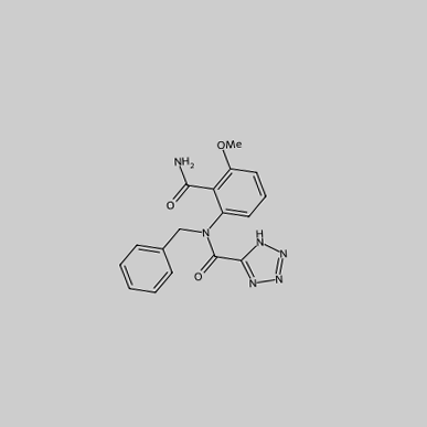 COc1cccc(N(Cc2ccccc2)C(=O)c2nnn[nH]2)c1C(N)=O